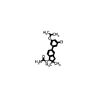 CC(C)Oc1cc(Cl)cc(-c2ccc3c(c2)CC(C)(C)[C@H]3OC(N)=O)c1